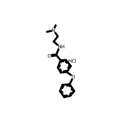 CN(C)CCNC(=O)c1ccc(Oc2ccccc2)cc1.Cl